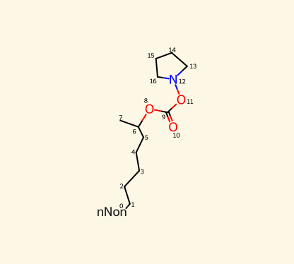 CCCCCCCCCCCCCCC(C)OC(=O)ON1CCCC1